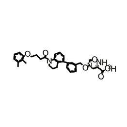 Cc1cccc(OCCCC(=O)N2CCCc3c(-c4cccc(CON(C=O)C[C@H](N)C(=O)O)c4)cccc32)c1C